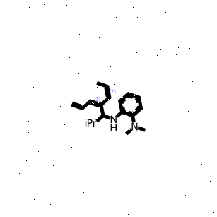 C=C/C=C(/C=C\C)C(Nc1ccccc1N(C)C)C(C)C